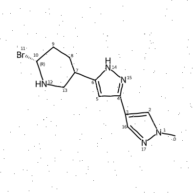 Cn1cc(-c2cc(C3CC[C@@H](Br)NC3)[nH]n2)cn1